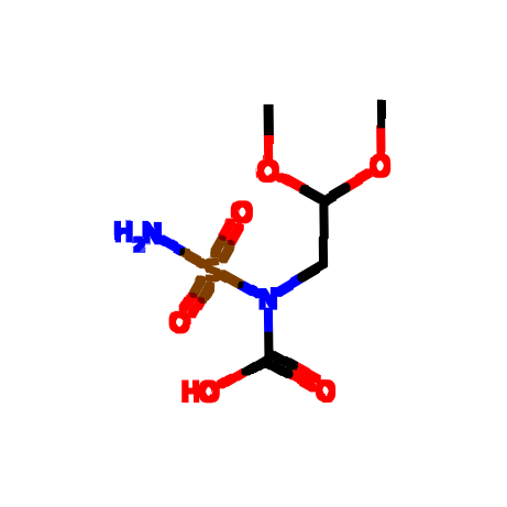 COC(CN(C(=O)O)S(N)(=O)=O)OC